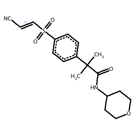 CC(C)(C(=O)NC1CCOCC1)c1ccc(S(=O)(=O)/C=C/C#N)cc1